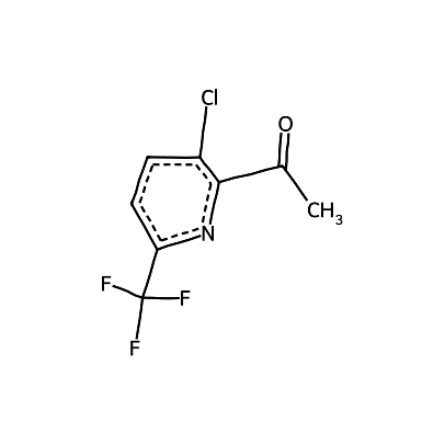 CC(=O)c1nc(C(F)(F)F)ccc1Cl